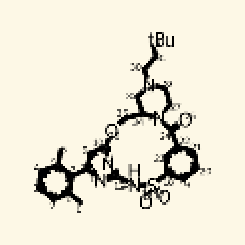 Cc1cccc(C)c1-c1cc2nc(n1)NS(=O)(=O)c1cccc(c1)C(=O)N1CCN(CCC(C)(C)C)CC1CO2